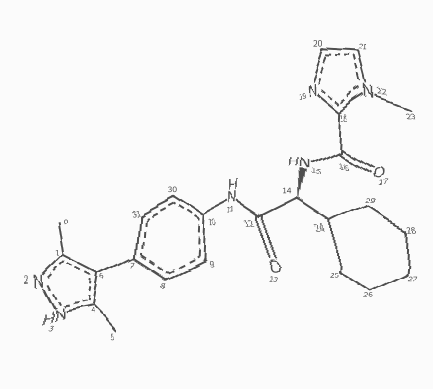 Cc1n[nH]c(C)c1-c1ccc(NC(=O)[C@@H](NC(=O)c2nccn2C)C2CCCCC2)cc1